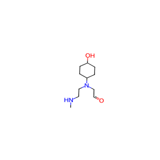 CNCCN(CC=O)C1CCC(O)CC1